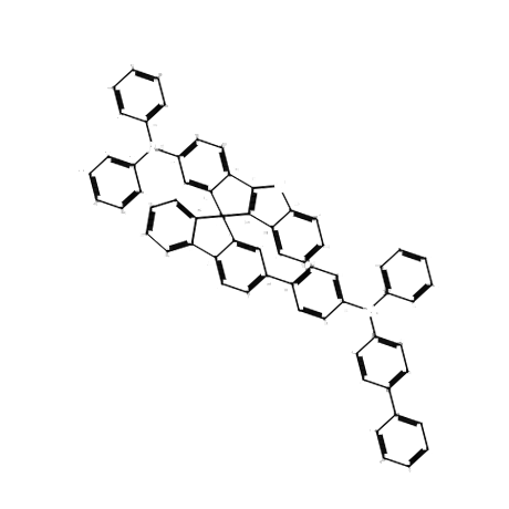 c1ccc(-c2ccc(N(c3ccccc3)c3ccc(-c4ccc5c(c4)C4(c6ccccc6-5)c5cc(N(c6ccccc6)c6ccccc6)ccc5-c5sc6ccccc6c54)cc3)cc2)cc1